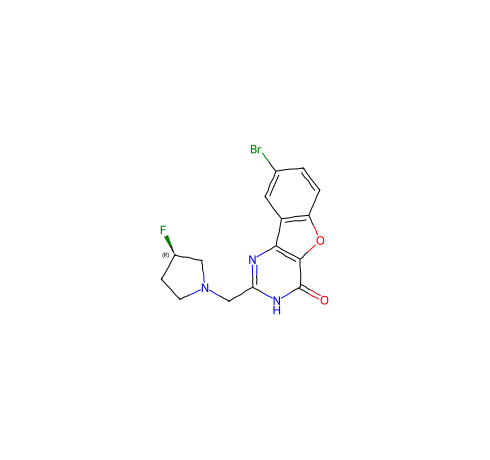 O=c1[nH]c(CN2CC[C@@H](F)C2)nc2c1oc1ccc(Br)cc12